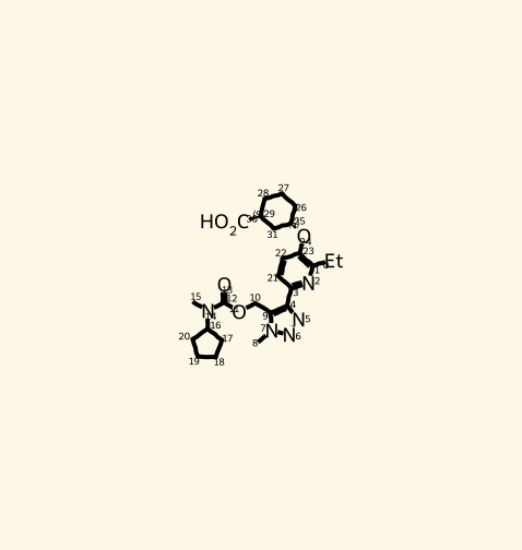 CCc1nc(-c2nnn(C)c2COC(=O)N(C)C2CCCC2)ccc1O[C@H]1CCC[C@H](C(=O)O)C1